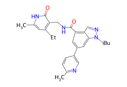 CCc1cc(C)[nH]c(=O)c1CNC(=O)c1cc(-c2ccc(C)nc2)cc2c1cnn2C(C)CC